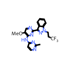 COc1cnc(-c2nn(CCC(F)(F)F)c3ccccc23)nc1Nc1ccnc(C)n1